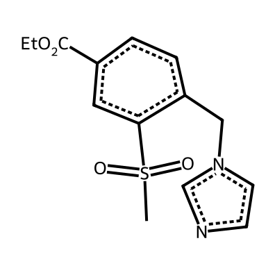 CCOC(=O)c1ccc(Cn2ccnc2)c(S(C)(=O)=O)c1